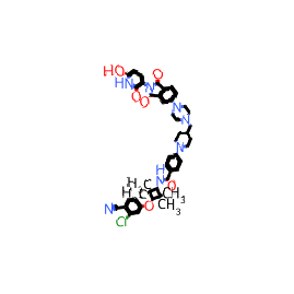 CC1(C)[C@H](NC(=O)c2ccc(N3CCC(CN4CCN(c5ccc6c(c5)C(=O)N(c5ccc(O)[nH]c5=O)C6=O)CC4)CC3)cc2)C(C)(C)[C@H]1Oc1ccc(C#N)c(Cl)c1